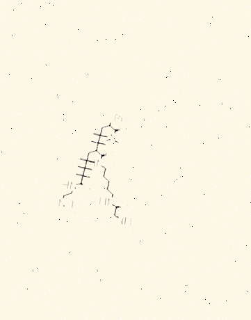 CN(C)C(=O)C(CC(C)(C)C(C)(C)C(CC(C)(C)C(C)(C)C(C)(C)C(=O)NCCN)C(=O)NCCCCCNC(=O)CN)C(C)(C)C